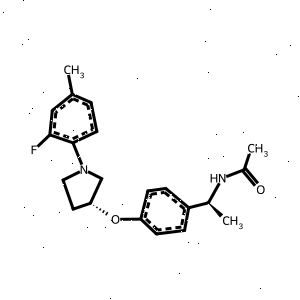 CC(=O)N[C@@H](C)c1ccc(O[C@@H]2CCN(c3ccc(C)cc3F)C2)cc1